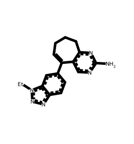 CCn1nnc2ccc(C3=CCCCc4nc(N)ncc43)cc21